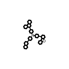 c1ccc2cc(-c3ccc(N(c4ccc(-c5cc6ccccc6c6ccccc56)cc4)c4ccc(-c5cccc6oc7ccccc7c56)cc4)cc3)ccc2c1